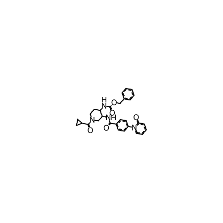 O=C(NC1CCN(C(=O)C2CC2)C[C@@H]1NC(=O)c1ccc(-n2ccccc2=O)cc1)OCc1ccccc1